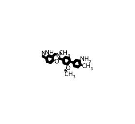 CCOc1cc(C(=O)N(C)Cc2cccc3cn[nH]c23)ccc1-c1ccc(C)c(N)c1